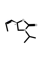 C/C=C\[C@@H]1CN(C(C)C)C(=O)O1